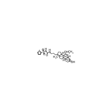 CC[C@H]1[C@@H](O)[C@@H]2[C@H](CC[C@]3(C)[C@@H](CCCNC(=O)NS(=O)(=O)c4cccs4)CC[C@@H]23)[C@@]2(C)CC[C@@H](O)C[C@@H]12